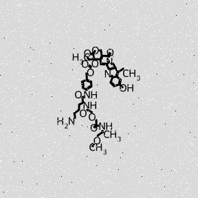 CCOCC(C)NC(=O)COCC(=O)NC(CCCCN)C(=O)Nc1ccc(COC(=O)OC2(CC)C(=O)OCc3c2cc2n(c3=O)Cc3c-2nc2ccc(O)cc2c3CC)cc1